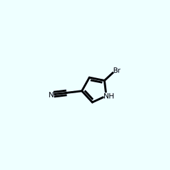 N#Cc1c[nH]c(Br)c1